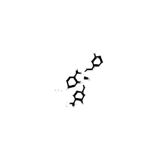 COc1ccc2c(=O)n(CCc3cccc(C(F)(F)F)c3)c(=O)n(Cc3ccc(C(=O)NO)c(C)c3)c2c1